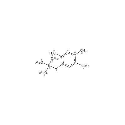 COc1cc(C[Si](OC)(OC)OC)c(C)cc1C